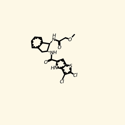 COCC(=O)N[C@@H]1c2ccccc2C[C@H]1NC(=O)c1cc2sc(Cl)c(Cl)c2[nH]1